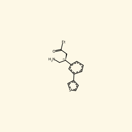 CCC(=O)C[C@H](CN)c1cccc(-c2ccsc2)c1